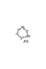 [Pd].c1cncnc1